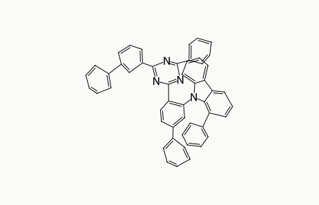 c1ccc(-c2cccc(-c3nc(-c4ccccc4)nc(-c4ccc(-c5ccccc5)cc4-n4c5ccccc5c5cccc(-c6ccccc6)c54)n3)c2)cc1